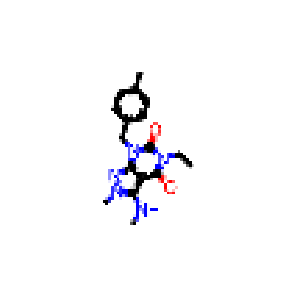 CCn1c(=O)c2c(NC)n(C)nc2n(Cc2ccc(C)cc2)c1=O